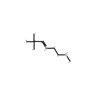 COCC/N=C/C(C)(C)C